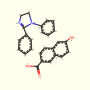 O=C(O)c1ccc2cc(O)ccc2c1.c1ccc(C2=NCCN2c2ccccc2)cc1